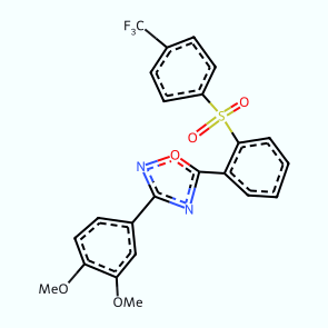 COc1ccc(-c2noc(-c3ccccc3S(=O)(=O)c3ccc(C(F)(F)F)cc3)n2)cc1OC